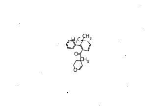 C1=COCCC1.CC(=O)C1=C(c2ccccc2)C(C)(C)CC=C1